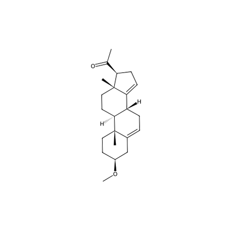 CO[C@H]1CC[C@@]2(C)C(=CC[C@H]3C4=CC[C@H](C(C)=O)[C@@]4(C)CC[C@@H]32)C1